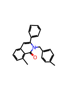 Cc1ccc(Cn2c(-c3ccccc3)cc3cccc(C)c3c2=O)cc1